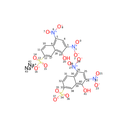 O=[N+]([O-])c1cc([N+](=O)[O-])c2ccc(S(=O)(=O)[O-])cc2c1O.O=[N+]([O-])c1cc([N+](=O)[O-])c2ccc(S(=O)(=O)[O-])cc2c1O.[Na+].[Na+]